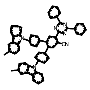 Cc1ccc2c(c1)c1ccccc1n2-c1ccc(-c2cc(C#N)c(-c3nc(-c4ccccc4)nc(-c4ccccc4)n3)cc2-c2ccc(-n3c4ccccc4c4cc(C)ccc43)cc2)cc1